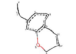 CCc1ccc2c(c1)OCC=C2